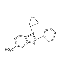 O=C(O)c1ccc2c(c1)nc(-c1ccccc1)n2C1CCCC1